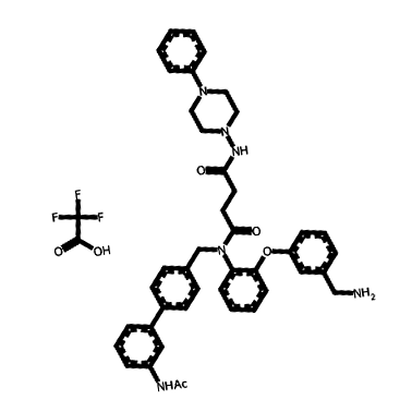 CC(=O)Nc1cccc(-c2ccc(CN(C(=O)CCC(=O)NN3CCN(c4ccccc4)CC3)c3ccccc3Oc3cccc(CN)c3)cc2)c1.O=C(O)C(F)(F)F